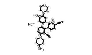 Cl.N#Cc1ccc(-c2c(-c3ccc(N4CCOCC4)c(O)c3)cnc(N3CCC(N)CC3)c2C#N)cc1F